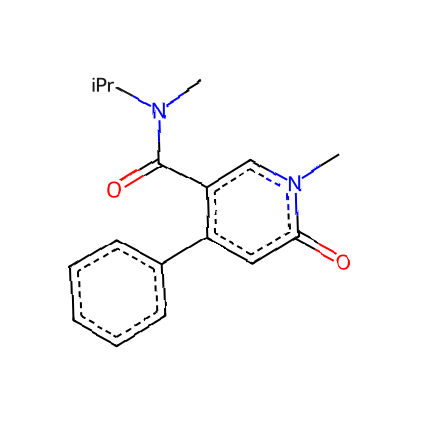 CC(C)N(C)C(=O)c1cn(C)c(=O)cc1-c1ccccc1